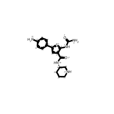 NC(=O)Nc1sc(-c2ccc(N)cc2)cc1C(=O)N[C@H]1CCCNC1